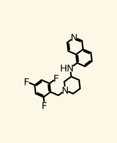 Fc1cc(F)c(CN2CCCC(Nc3cccc4cnccc34)C2)c(F)c1